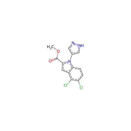 COC(=O)c1cc2c(Cl)c(Cl)ccc2n1-c1cn[nH]c1